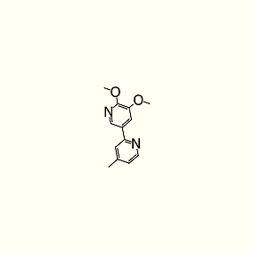 COc1cc(-c2cc(C)ccn2)cnc1OC